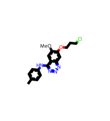 COc1cc2c(Nc3ccc(C)cc3)nnnc2cc1OCCCCl